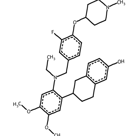 CCN(Cc1ccc(OC2CCN(C)CC2)c(F)c1)c1cc(OC)c(OC)cc1C1CCc2cc(O)ccc2C1